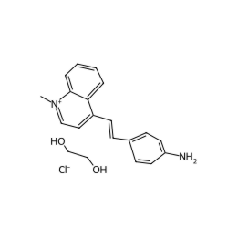 C[n+]1ccc(C=Cc2ccc(N)cc2)c2ccccc21.OCCO.[Cl-]